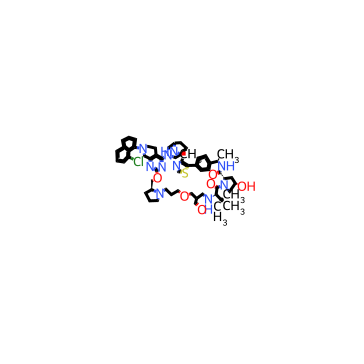 Cc1ncsc1-c1ccc([C@H](C)NC(=O)[C@@H]2C[C@@H](O)CN2C(=O)[C@@H](NCC(C=O)COCCCN2CCC[C@H]2COc2nc3c(c(N4CC5CCC(C4)N5)n2)CCN(c2cccc4cccc(Cl)c24)C3)C(C)(C)C)cc1